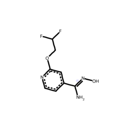 N/C(=N\O)c1ccnc(OCC(F)F)c1